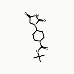 CC(C)(C)OC(=O)N1CCC(N2CC(=O)NC2=O)CC1